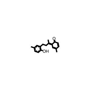 CC1=CC(=C(C)CCc2cc(C)ccc2O)C(=O)C=C1